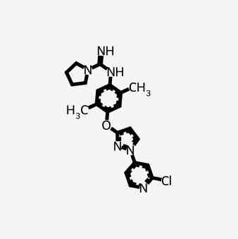 Cc1cc(Oc2ccn(-c3ccnc(Cl)c3)n2)c(C)cc1NC(=N)N1CCCC1